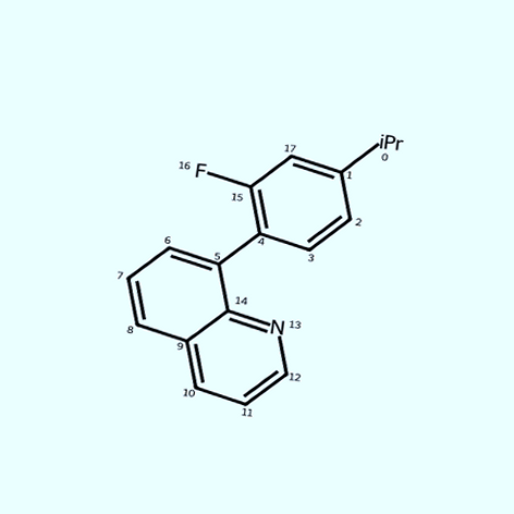 CC(C)c1ccc(-c2cccc3cccnc23)c(F)c1